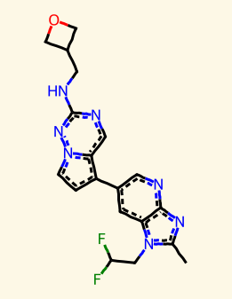 Cc1nc2ncc(-c3ccn4nc(NCC5COC5)ncc34)cc2n1CC(F)F